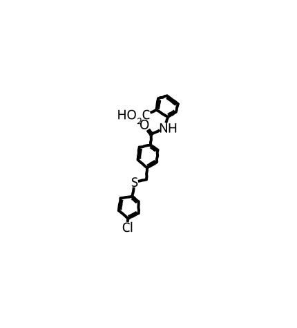 O=C(Nc1ccccc1C(=O)O)c1ccc(CSc2ccc(Cl)cc2)cc1